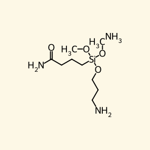 CO[Si](CCCC(N)=O)(OC)OCCCN.N